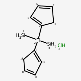 Cl.[SiH3][Ti]([SiH3])([C]1=CC=CC1)[C]1=CC=CC1